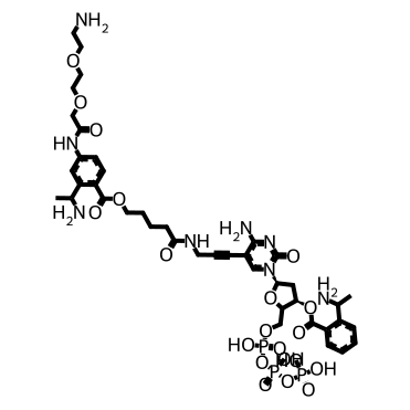 CC(N)c1cc(NC(=O)COCCOCCN)ccc1C(=O)OCCCCC(=O)NCC#Cc1cn([C@H]2C[C@@H](OC(=O)c3ccccc3C(C)N)C(COP(=O)(O)OP(=O)(O)OP(=O)(O)O)O2)c(=O)nc1N